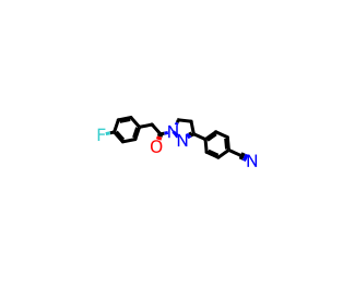 N#Cc1ccc(C2=NN(C(=O)Cc3ccc(F)cc3)CC2)cc1